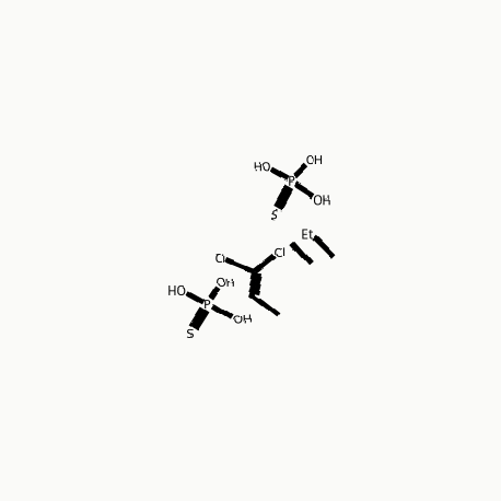 CC.CC=C(Cl)Cl.CCC.OP(O)(O)=S.OP(O)(O)=S